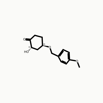 COc1ccc(CO[C@@H]2CCC(=O)[C@@H](O)C2)cc1